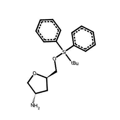 CC(C)(C)[Si](OC[C@H]1C[C@H](N)CO1)(c1ccccc1)c1ccccc1